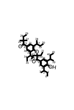 CCC(C)c1cc(C(=O)C(CC)(CC)Oc2c(C(C)CC)cc(C(=O)C(C)(C)CC)cc2C(C)CC)cc(C(C)CC)c1O